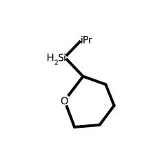 CC(C)[SiH2]C1CCCCO1